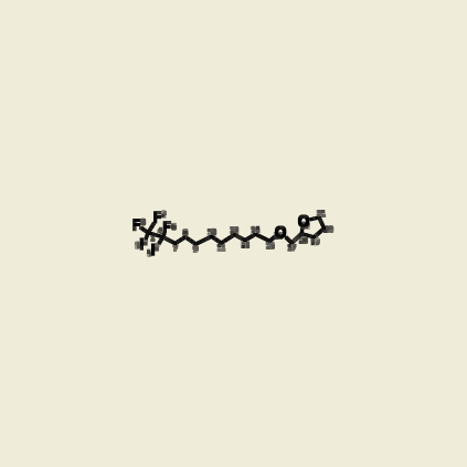 FC(F)(F)C(F)(F)CCCCCCCCCOCC1CCCO1